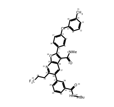 CNC(=O)c1c(-c2ccc(Oc3cccc(C)c3)cc2)oc2nc(CCC(F)(F)F)c(-c3cccc(C(=O)NC(C)(C)C)c3)cc12